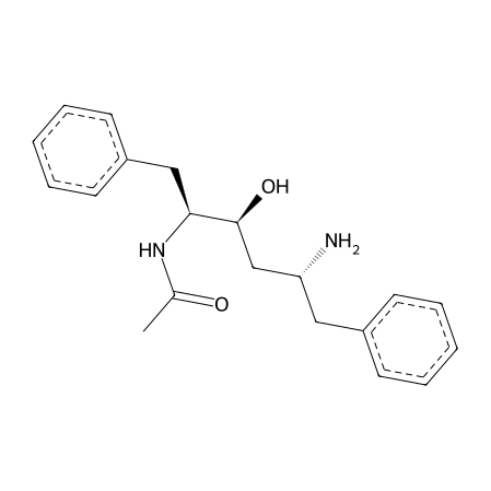 CC(=O)N[C@@H](Cc1ccccc1)[C@@H](O)C[C@H](N)Cc1ccccc1